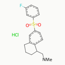 CNCC1CCCc2cc(S(=O)(=O)c3cccc(F)c3)ccc21.Cl